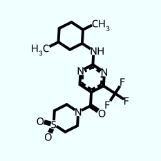 CC1CCC(C)C(Nc2ncc(C(=O)N3CCS(=O)(=O)CC3)c(C(F)(F)F)n2)C1